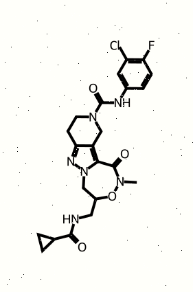 CN1OC(CNC(=O)C2CC2)Cn2nc3c(c2C1=O)CN(C(=O)Nc1ccc(F)c(Cl)c1)CC3